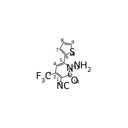 [C-]#[N+]c1c(C(F)(F)F)cc(-c2cccs2)n(N)c1=O